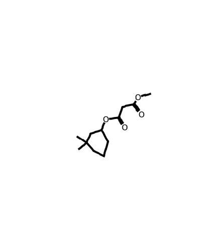 COC(=O)CC(=O)OC1CCCC(C)(C)C1